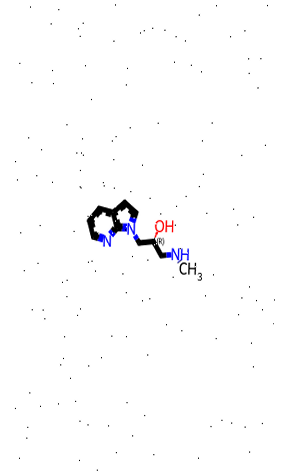 CNC[C@@H](O)Cn1ccc2cccnc21